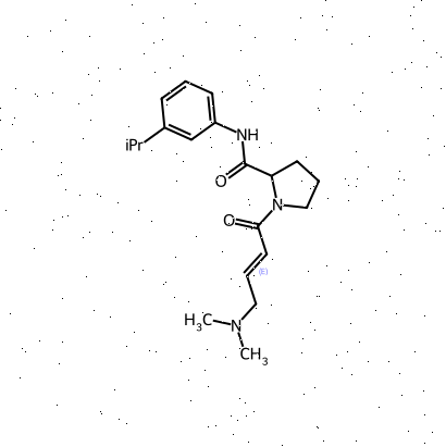 CC(C)c1cccc(NC(=O)C2CCCN2C(=O)/C=C/CN(C)C)c1